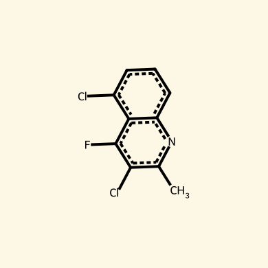 Cc1nc2cccc(Cl)c2c(F)c1Cl